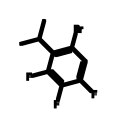 CC(C)c1c(Br)cc(F)c(F)c1F